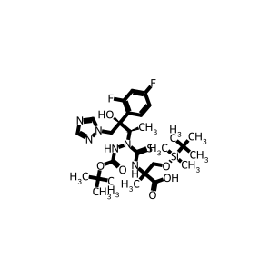 C[C@@H](N(NC(=O)OC(C)(C)C)C(=S)NC(C)(CO[Si](C)(C)C(C)(C)C)C(=O)O)[C@](O)(Cn1cncn1)c1ccc(F)cc1F